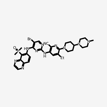 CCc1cc(Nc2ncc(Br)c(Nc3ccc4nccnc4c3P(C)(C)=O)n2)c(C#N)nc1N1CCC(N2CCN(C)CC2)CC1